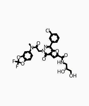 CN(C(=O)Cn1nc(-c2cccc(Cl)c2)c2oc(C(=O)NC[C@@H](O)CO)cc2c1=O)c1ccc2c(c1)OC(F)(F)O2